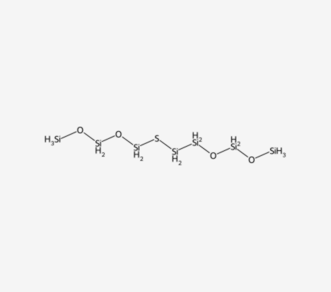 [SiH3]O[SiH2]O[SiH2][SiH2]S[SiH2]O[SiH2]O[SiH3]